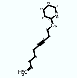 C=CCCCC#CCCOC1CCCCO1